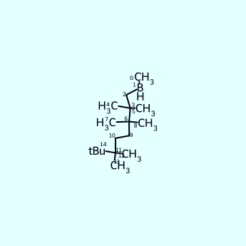 CBCC(C)(C)C(C)(C)CCC(C)(C)C(C)(C)C